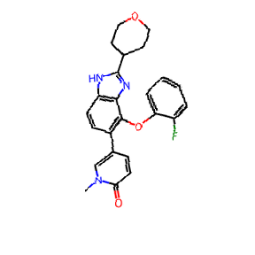 Cn1cc(-c2ccc3[nH]c(C4CCOCC4)nc3c2Oc2ccccc2F)ccc1=O